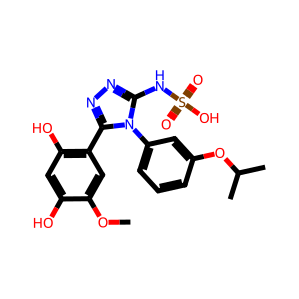 COc1cc(-c2nnc(NS(=O)(=O)O)n2-c2cccc(OC(C)C)c2)c(O)cc1O